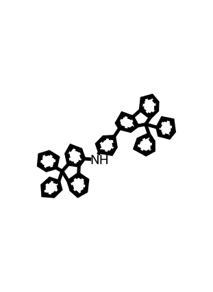 c1ccc(C2(c3ccccc3)c3ccccc3-c3ccc(-c4ccc(Nc5cccc6c5-c5ccccc5C6(c5ccccc5)c5ccccc5)cc4)cc32)cc1